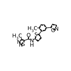 Cc1ccc(-c2ccno2)cc1-c1ccc(NC(=O)c2snnc2C)s1